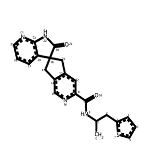 CC(Cc1cccs1)NC(=O)c1cc2c(cn1)CC1(C2)C(=O)Nc2ncccc21